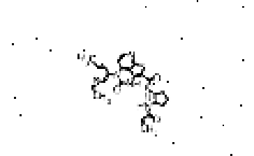 C=CC(=O)N[C@@H]1CCC[C@@H]1NC(=O)c1sc2nccc3c2c1NC(=O)N3C(/C=C/C)=C/N=C\C